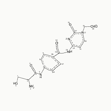 NC(CO)C(=O)Nc1ccc(C(=O)Nc2ccn(CC=O)c(=O)n2)cc1